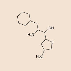 CC1COC(C(O)C(N)CC2CCCCC2)C1